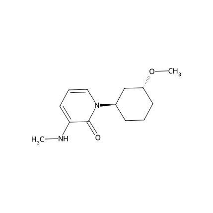 CNc1cccn([C@@H]2CCC[C@@H](OC)C2)c1=O